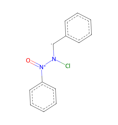 O=[N+](c1ccccc1)N(Cl)[CH]c1ccccc1